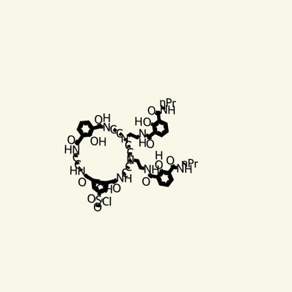 CCCNC(=O)c1cccc(C(=O)NCCN2CCNC(=O)c3cccc(c3O)C(=O)NCCNC(=O)c3cc(S(=O)(=O)Cl)cc(c3O)C(=O)NCCN(CCNC(=O)c3cccc(C(=O)NCCC)c3O)CC2)c1O